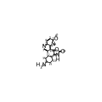 COc1ccc2nccc([C@H]3OC(=O)N[C@@H]3C3CCC(N)CC3)c2n1